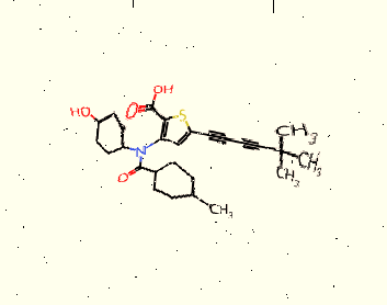 CC1CCC(C(=O)N(c2cc(C#CC#CC(C)(C)C)sc2C(=O)O)C2CCC(O)CC2)CC1